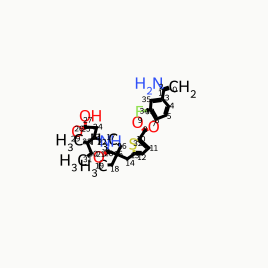 C=C(N)c1ccc(OC(=O)c2ccc(CC(CC)(CC)C(=O)NC(CC(=O)O)C(C)CC)s2)c(F)c1